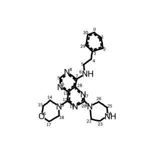 c1ccc(CCNc2ncnc3c(N4CCOCC4)nc(N4CCNCC4)nc23)cc1